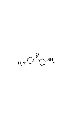 Nc1ccc(C(=O)c2cccc(N)c2)cc1